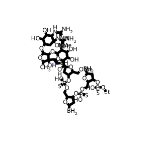 BC1CC(OP(O)(=S)OCC)C(COP(O)(=S)OC2CC(B)OC2COP(O)(=S)OC2CC(B/C=C/C3(O)C(C)OC(OC4CC(O)(NC(=N)N)C(NC(=N)N)C(O)C4O)C3OC3OC(CO)C(O)C(O)C3NC)OC2COC)O1